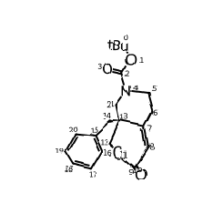 CC(C)(C)OC(=O)N1CCC2=CC(=O)CC[C@]2(Cc2ccccc2)C1